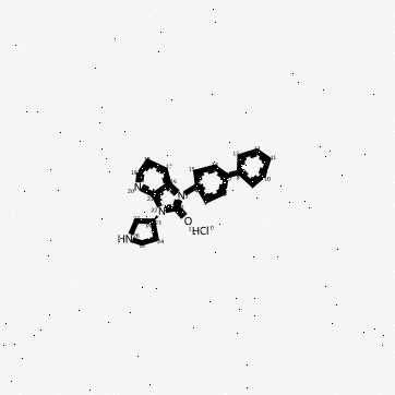 Cl.O=c1n(-c2ccc(-c3ccccc3)cc2)c2cccnc2n1[C@@H]1CCNC1